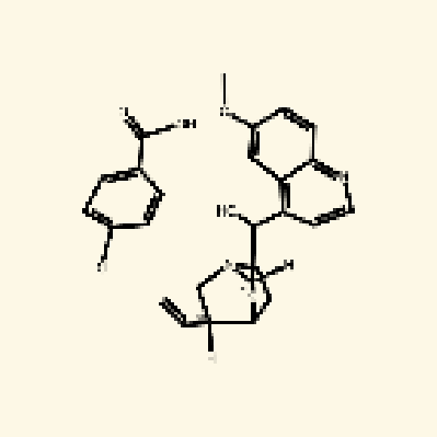 C=C[C@@H]1CN2CCC1C[C@H]2C(O)c1ccnc2ccc(OC)cc12.O=C(O)c1ccc(Cl)cc1